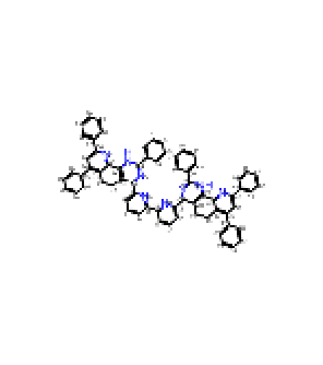 c1ccc(C2=NC(c3cccc(-c4cccc(C5N=C(c6ccccc6)NC6=C5CCc5c(-c7ccccc7)cc(-c7ccccc7)nc56)n4)n3)C3=C(N2)c2nc(-c4ccccc4)cc(-c4ccccc4)c2CC3)cc1